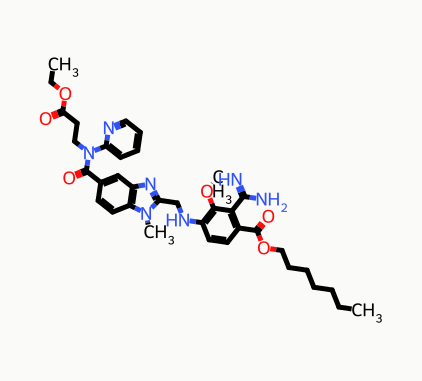 CCCCCCCOC(=O)c1ccc(NCc2nc3cc(C(=O)N(CCC(=O)OCC)c4ccccn4)ccc3n2C)c(OC)c1C(=N)N